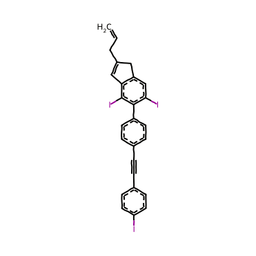 C=CCC1=Cc2c(cc(I)c(-c3ccc(C#Cc4ccc(I)cc4)cc3)c2I)C1